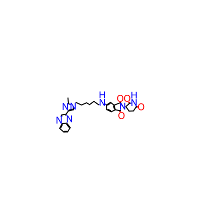 Cc1nc(-c2cnc3ccccc3n2)cn1CCCCCCNc1ccc2c(c1)C(=O)N(C1CCC(=O)NC1=O)C2=O